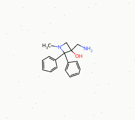 CN1CC(O)(CN)C1(c1ccccc1)c1ccccc1